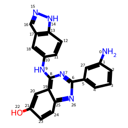 Nc1cccc(-c2nc(Nc3ccc4[nH]ncc4c3)c3cc(O)ccc3n2)c1